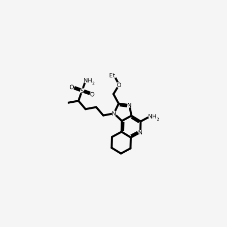 CCOCc1nc2c(N)nc3c(c2n1CCCC(C)S(N)(=O)=O)CCCC3